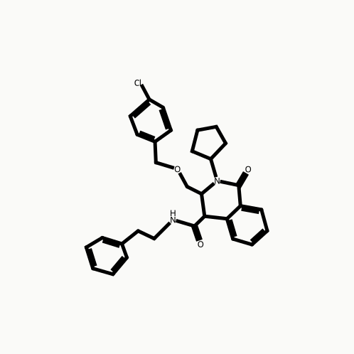 O=C(NCCc1ccccc1)C1c2ccccc2C(=O)N(C2CCCC2)C1COCc1ccc(Cl)cc1